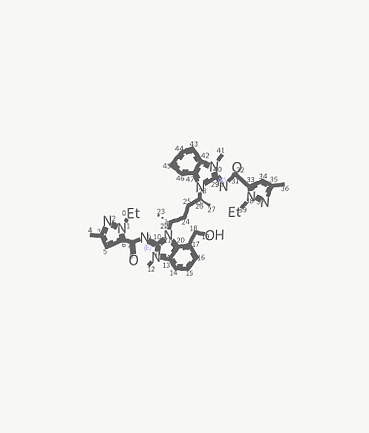 CCn1nc(C)cc1C(=O)/N=c1\n(C)c2cccc(CO)c2n1[C@H](C)CC[C@H](C)n1/c(=N/C(=O)c2cc(C)nn2CC)n(C)c2ccccc21